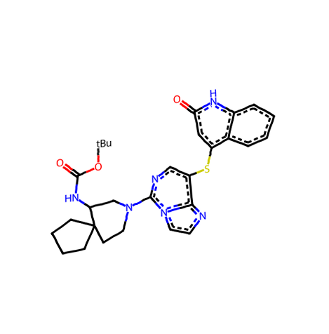 CC(C)(C)OC(=O)NC1CN(c2ncc(Sc3cc(=O)[nH]c4ccccc34)c3nccn23)CCC12CCCC2